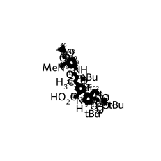 CCCCOc1ccc(C(Nc2ccc3c(N(C(=O)OC(C)(C)C)C(=O)OC(C)(C)C)ncc(F)c3c2)C(=O)O)cc1[C@H](C)CC(=O)Nc1ccc(S(=O)(=O)C2CC2)c(CNC)c1